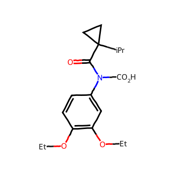 CCOc1ccc(N(C(=O)O)C(=O)C2(C(C)C)CC2)cc1OCC